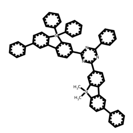 C[Si]1(C)c2ccc(-c3ccccc3)cc2-c2ccc(-c3nc(-c4ccccc4)nc(-c4ccc5c(c4)[Si](c4ccccc4)(c4ccccc4)c4ccc(-c6ccccc6)cc4-5)n3)cc21